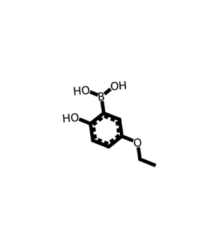 CCOc1ccc(O)c(B(O)O)c1